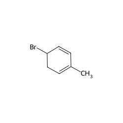 CC1=CCC(Br)C=C1